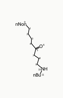 CCCCCCCCCCCCCC(=O)CCCNCCCC